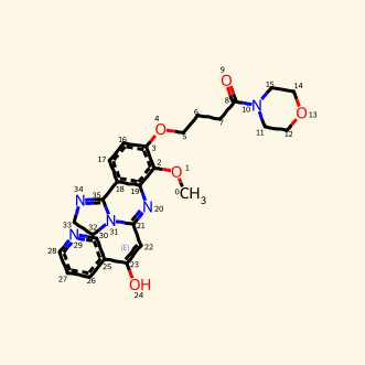 COc1c(OCCCC(=O)N2CCOCC2)ccc2c1N=C(/C=C(/O)c1cccnc1)N1CCN=C21